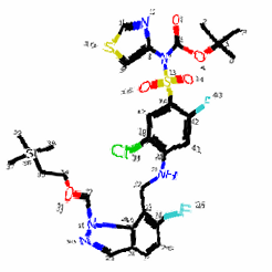 CC(C)(C)OC(=O)N(c1cscn1)S(=O)(=O)c1cc(Cl)c(NCc2c(F)ccc3cnn(COCC[Si](C)(C)C)c23)cc1F